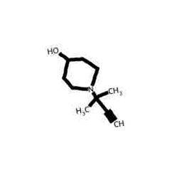 C#CC(C)(C)N1CCC(O)CC1